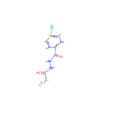 O=C(CCl)NNC(=O)c1ncc(Cl)cn1